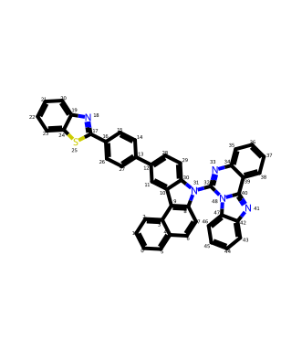 c1ccc2c(c1)ccc1c2c2cc(-c3ccc(-c4nc5ccccc5s4)cc3)ccc2n1-c1nc2ccccc2c2nc3ccccc3n12